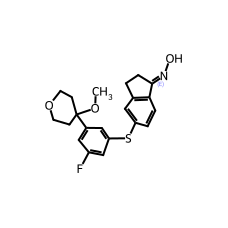 COC1(c2cc(F)cc(Sc3ccc4c(c3)CC/C4=N\O)c2)CCOCC1